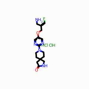 Cl.Cl.NC/C(=C\F)COc1cnc(N2CCC3(CC2)CNC(=O)C3)nc1